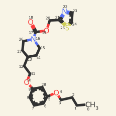 CCCCOc1cccc(OCCC2CCN(C(=O)OCc3nccs3)CC2)c1